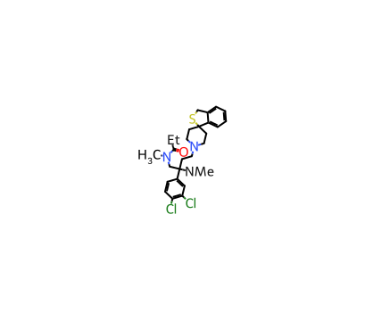 CCC(=O)N(C)CC(CCN1CCC2(CC1)SCc1ccccc12)(NC)c1ccc(Cl)c(Cl)c1